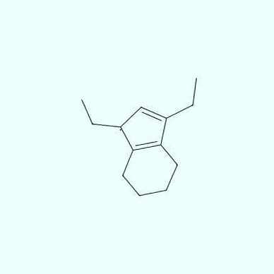 CC[C]1C=C(CC)C2=C1CCCC2